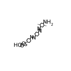 Cc1cc(N=Nc2ccc(N=Nc3ccc(SOOO)cc3)cc2)c(C)cc1N